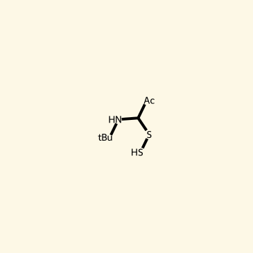 CC(=O)C(NC(C)(C)C)SS